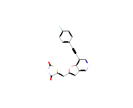 O=C1NC(=O)C(=Cc2cc3cncc(C#Cc4ccc(Cl)cc4)c3o2)S1